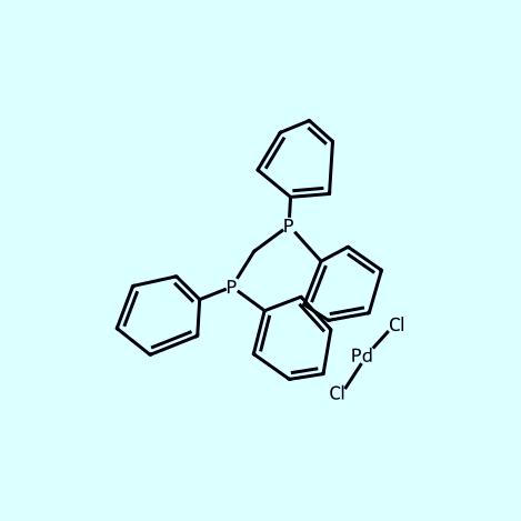 [Cl][Pd][Cl].c1ccc(P(CP(c2ccccc2)c2ccccc2)c2ccccc2)cc1